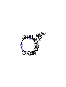 CO[C@H]1C[C@@H]2CC[C@@H](C)[C@@](O)(O2)C(=O)C(=O)N2CCCC[C@H]2C(=O)O[C@H]([C@H](C)CC[C@@H]2CC[C@@H](OP(C)(C)=O)[C@H](OC)C2)CC(=O)[C@H](C)/C=C(\C)[C@@H](O)[C@@H](OC)C(=O)[C@H](C)CC/C=C/C=C/C=C/1C